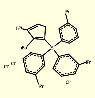 CCCCC1=C([Si](c2cccc(C(C)C)c2)(c2cccc(C(C)C)c2)c2cccc(C(C)C)c2)CC=[C]1[Ti+3].[Cl-].[Cl-].[Cl-]